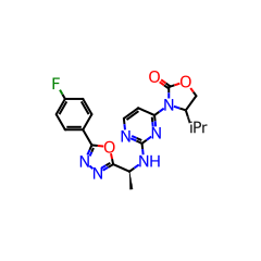 CC(C)C1COC(=O)N1c1ccnc(N[C@@H](C)c2nnc(-c3ccc(F)cc3)o2)n1